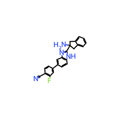 N#Cc1ccc(-c2ccc3[nH]c(C4(N)Cc5ccccc5C4)nc3c2)cc1F